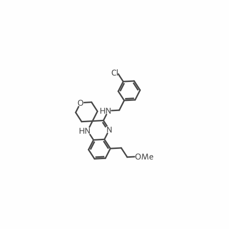 COCCc1cccc2c1N=C(NCc1cccc(Cl)c1)C1(CCOCC1)N2